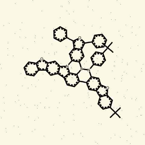 CC(C)(C)c1ccc(N2B3c4cc5c(-c6ccccc6)oc(-c6ccccc6)c5cc4-n4c5cc6oc7ccccc7c6cc5c5ccc(c3c54)-c3cc4c(cc32)oc2cc(C(C)(C)C)ccc24)cc1